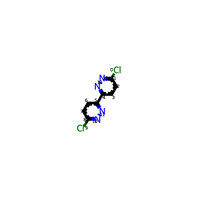 Clc1ccc(-c2ccc(Cl)nn2)nn1